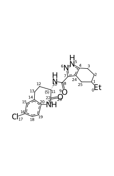 CCC1CCc2[nH]nc(C(=O)N[C@H]3CCc4cc(Cl)ccc4NC3=O)c2C1